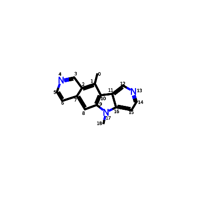 Cc1c2cnccc2cc2c1c1cnccc1n2C